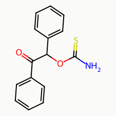 NC(=S)OC(C(=O)c1ccccc1)c1ccccc1